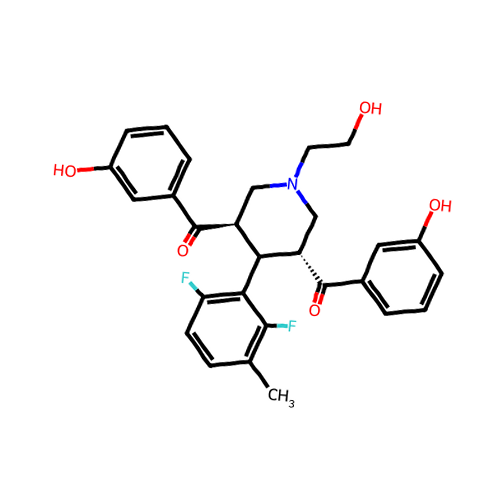 Cc1ccc(F)c(C2[C@@H](C(=O)c3cccc(O)c3)CN(CCO)C[C@@H]2C(=O)c2cccc(O)c2)c1F